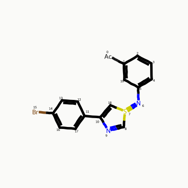 CC(=O)c1cccc(N=S2C=NC(c3ccc(Br)cc3)=C2)c1